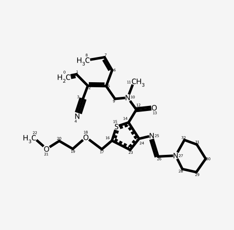 C=C/C(C#N)=C(\C=C/C)CN(C)C(=O)c1sc(COCCOC)cc1/N=C/N1CCCCC1